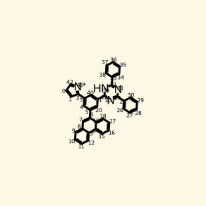 C1=CC(c2cc(-c3cc4ccccc4c4ccccc34)cc(C3N=C(c4ccccc4)N=C(c4ccccc4)N3)c2)=[N+]=C1